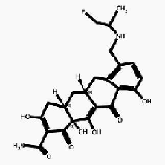 CC(CF)NCc1ccc(O)c2c1C[C@H]1C[C@H]3CC(O)=C(C(N)=O)C(=O)[C@@]3(O)C(O)=C1C2=O